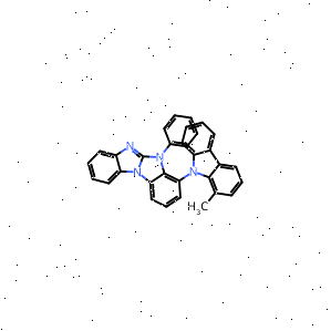 Cc1cccc2c3ccccc3n(-c3cccc4c3n(-c3ccccc3)c3nc5ccccc5n43)c12